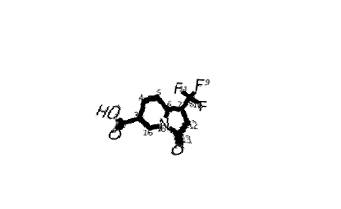 O=C(O)C1CCC2C(C(F)(F)F)CC(=O)N2C1